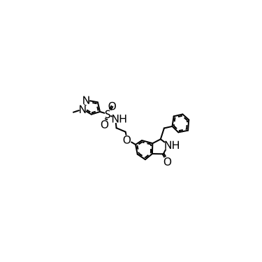 Cn1cc(S(=O)(=O)NCCOc2ccc3c(c2)C(Cc2ccccc2)NC3=O)cn1